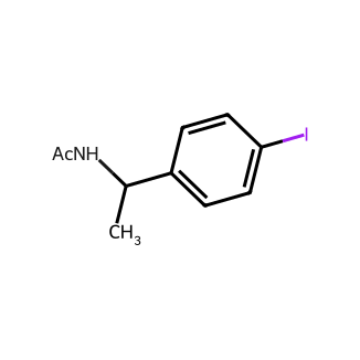 CC(=O)NC(C)c1ccc(I)cc1